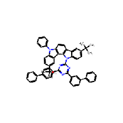 CC(C)(C)c1ccc2c(c1)c1c(ccc3c4cc(C(C)(C)C)ccc4n(-c4nc(-c5ccc(-c6ccccc6)cc5)nc(-c5cccc(-c6ccccc6)c5)n4)c31)n2-c1ccccc1